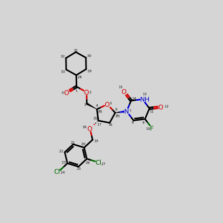 O=C(OC[C@H]1O[C@@H](n2cc(F)c(=O)[nH]c2=O)C[C@@H]1OCc1ccc(Cl)cc1Cl)C1CCCCC1